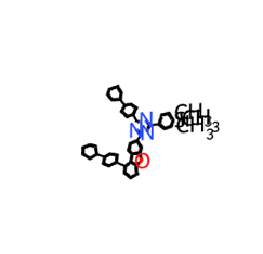 C[Si](C)(C)c1ccc(-c2nc(-c3ccc(-c4ccccc4)cc3)nc(-c3ccc4c(c3)oc3cccc(-c5ccc(-c6ccccc6)cc5)c34)n2)cc1